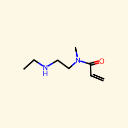 C=CC(=O)N(C)CCNCC